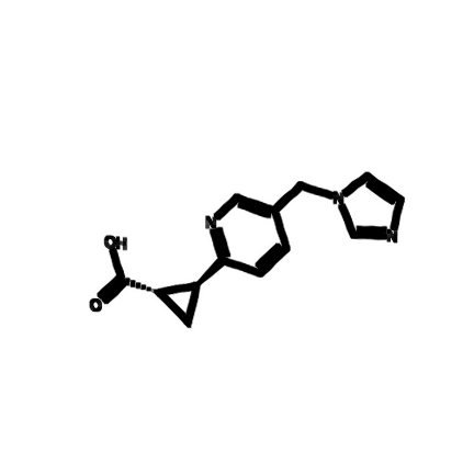 O=C(O)[C@H]1C[C@@H]1c1ccc(Cn2ccnc2)cn1